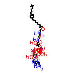 CC(C)(C)CCCCc1ccc(CCCCCCC(C)(C)C(=O)CCNC(=O)CCNC(=O)C(O)C(C)(C)COP(=O)(O)OP(=O)(O)OCC2OC(n3cnc4c(N)ncnc43)C(O)C2OP(=O)(O)O)cc1